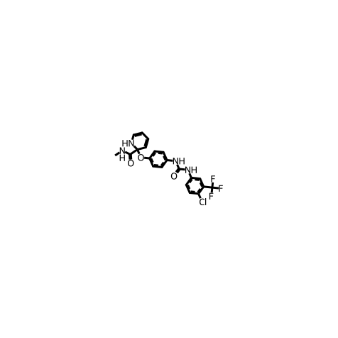 CNC(=O)C1(Oc2ccc(NC(=O)Nc3ccc(Cl)c(C(F)(F)F)c3)cc2)C=CC=CN1